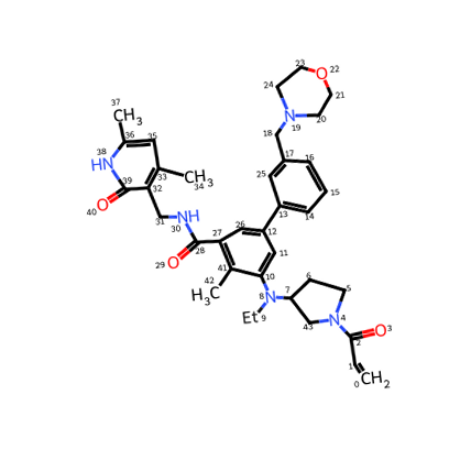 C=CC(=O)N1CCC(N(CC)c2cc(-c3cccc(CN4CCOCC4)c3)cc(C(=O)NCc3c(C)cc(C)[nH]c3=O)c2C)C1